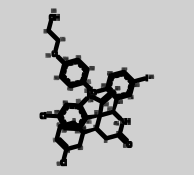 O=C1C[C@@H](C2C=CC=C(Cl)C2)[C@]2(C(=O)Nc3cc(Cl)ccc32)[C@@H](c2cc(I)ccc2Oc2ccc(OCCO)cc2)N1